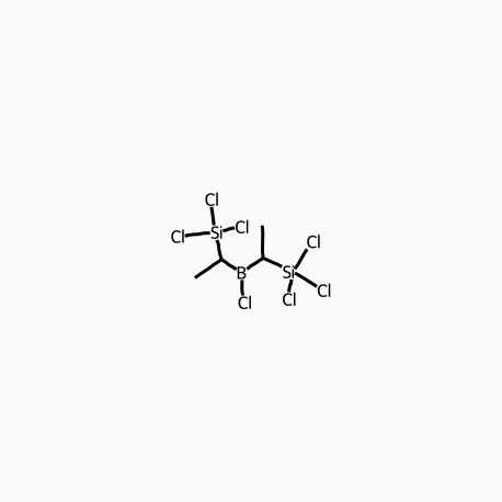 CC(B(Cl)C(C)[Si](Cl)(Cl)Cl)[Si](Cl)(Cl)Cl